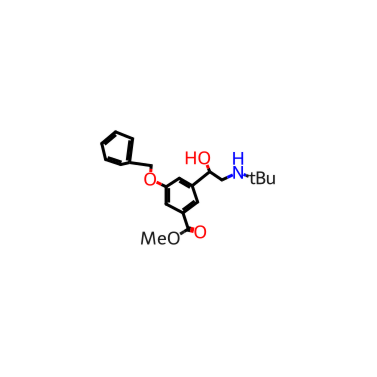 COC(=O)c1cc(OCc2ccccc2)cc(C(O)CNC(C)(C)C)c1